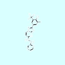 Cc1cc(-c2ncn(/C=C\C(=O)NNc3cnccn3)n2)cc(C(F)(F)F)c1Cl